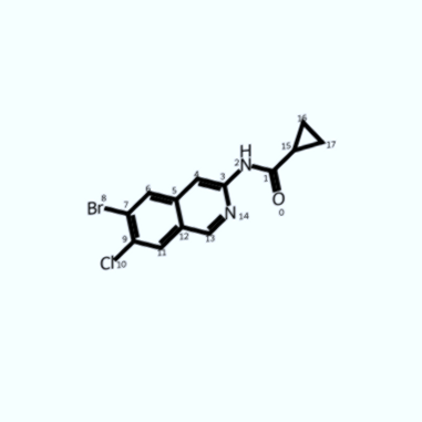 O=C(Nc1cc2cc(Br)c(Cl)cc2cn1)C1CC1